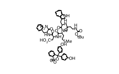 CSCCC(NC(=O)C(Cc1c[nH]c2ccccc12)NC(=O)CCNC(=O)OC(C)(C)C)C(=O)NC(CC(=O)O)C(=O)NC(Cc1ccccc1)C(N)=O.O=S1(=O)OC(c2ccc(O)cc2)(c2ccc(O)cc2)c2ccccc21